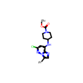 CC(C)c1cnc2c(NC3CCN(C(=O)OC(C)(C)C)CC3)cc(Cl)nn12